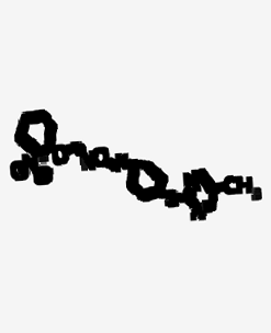 Cc1cnc(Sc2ccc(/N=C/O/N=C/Oc3ccccc3[N+](=O)[O-])cc2)nc1